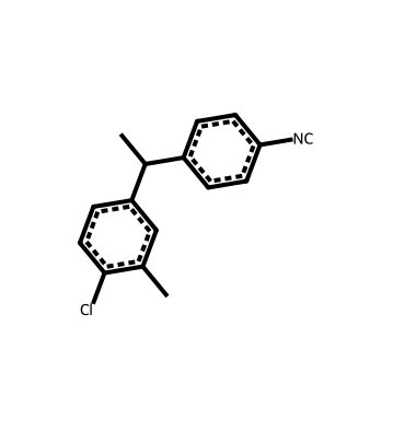 [C-]#[N+]c1ccc(C(C)c2ccc(Cl)c(C)c2)cc1